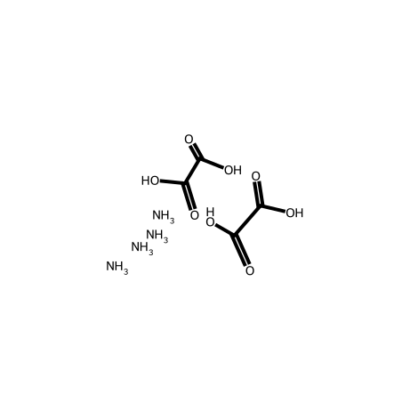 N.N.N.N.O=C(O)C(=O)O.O=C(O)C(=O)O